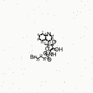 CC1(c2ccnc3ccccc23)OC(NS(=O)(=O)CCCBr)=C(O)C1=O